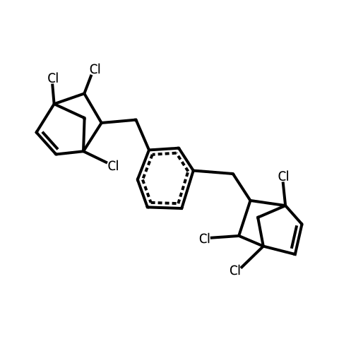 ClC1C(Cc2cccc(CC3C(Cl)C4(Cl)C=CC3(Cl)C4)c2)C2(Cl)C=CC1(Cl)C2